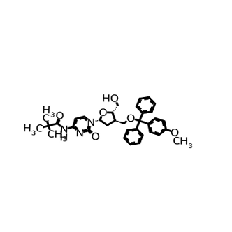 COc1ccc(C(OC[C@H]2C[C@H](n3ccc(NC(=O)C(C)(C)C)nc3=O)O[C@@H]2CO)(c2ccccc2)c2ccccc2)cc1